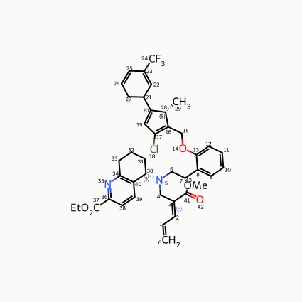 C=C/C=C(\CN(CCc1ccccc1OCC1=C(Cl)C=C(C2C=C(C(F)(F)F)C=CC2)[C@@H]1C)[C@H]1CCCc2nc(C(=O)OCC)ccc21)C(=O)OC